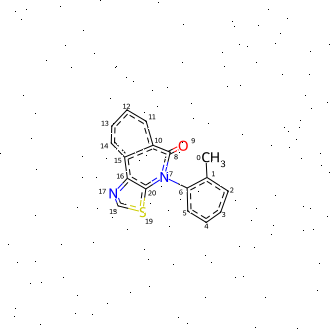 Cc1ccccc1-n1c(=O)c2ccccc2c2ncsc21